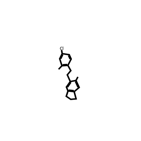 Cc1cc(Cl)ccc1CCc1cc2c(cc1C)CCC2